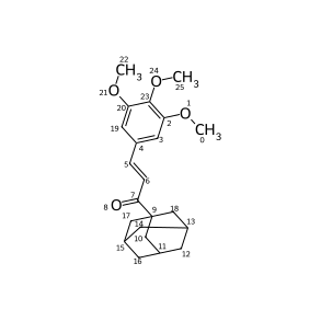 COc1cc(/C=C/C(=O)C23CC4CC(CC(C4)C2)C3)cc(OC)c1OC